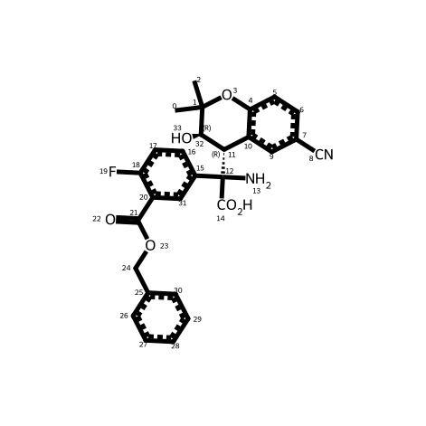 CC1(C)Oc2ccc(C#N)cc2[C@H](C(N)(C(=O)O)c2ccc(F)c(C(=O)OCc3ccccc3)c2)[C@H]1O